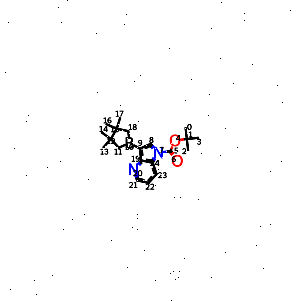 CC(C)(C)OC(=O)n1cc(B2CC(C)(C)C(C)(C)C2)c2ncccc21